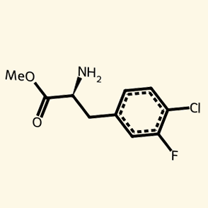 COC(=O)[C@@H](N)Cc1ccc(Cl)c(F)c1